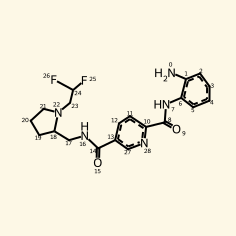 Nc1ccccc1NC(=O)c1ccc(C(=O)NCC2CCCN2CC(F)F)cn1